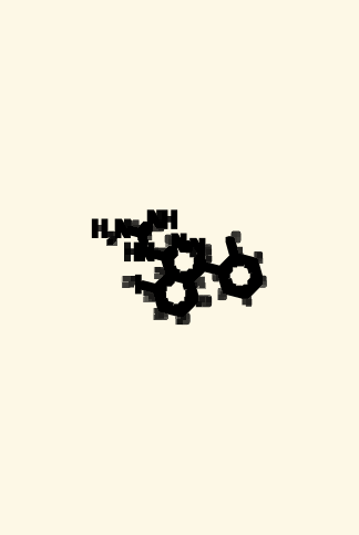 Cc1ccccc1-c1nnc(NC(=N)N)c2c(I)cccc12